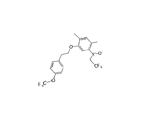 Cc1cc(C)c([S+]([O-])CC(F)(F)F)cc1OCCc1ccc(OC(F)(F)F)cc1